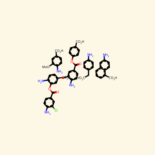 COc1cc(C(=O)O)ccc1N.Cc1cc(C(=O)Oc2ccc(C(=O)O)cc2)ccc1N.Nc1ccc(C(=O)Oc2cc(C(=O)O)ccc2N)cc1Cl.Nc1ccc(CC(=O)O)cc1.Nc1ccc2c(C(=O)O)cccc2c1